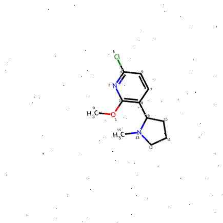 COc1nc(Cl)ccc1C1CCCN1C